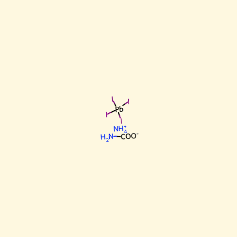 NC(=O)[O-].[I][Pb]([I])([I])[I].[NH4+]